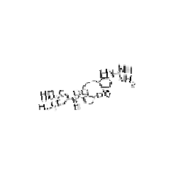 N=C(N)Nc1ccc2c(c1)CCCOc1c(cccc1C(=O)NC(CC(=O)O)CC(=O)O)OC2=O